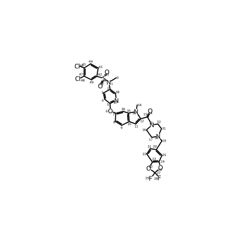 CN(c1ccc(Oc2ccc3cc(C(=O)N4CCN(Cc5ccc6c(c5)OC(F)(F)O6)CC4)n(C)c3c2)nc1)S(=O)(=O)c1ccc(Cl)c(Cl)c1